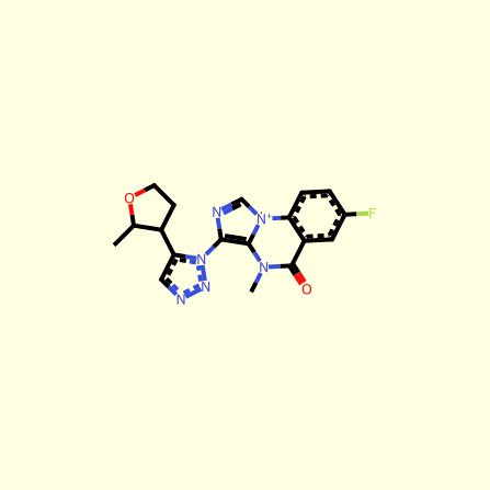 CC1OCCC1c1cnnn1C1=C2N(C)C(=O)c3cc(F)ccc3[N+]2C=N1